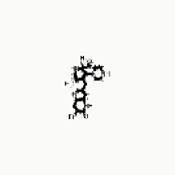 CCc1cc2ncc(CC3=C(N4CCNCC4)[C@@](C)(C(=O)NC)NC=C3C)cc2[nH]c1=O